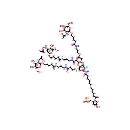 CC(=O)N[C@H]1[C@H](OCCCCC(=O)NCCCNC(=O)CCOC[C@H]2O[C@@H](NC(=O)CCCCCCCCCCC(=O)N3C[C@H](O)C[C@H]3CO[PH](=O)O)[C@H](F)[C@@H](OCCC(=O)NCCCNC(=O)CCCCO[C@@H]3O[C@H](CO)[C@H](O)[C@H](O)[C@H]3NC(C)=O)[C@@H]2OCCC(=O)NCCCNC(=O)CCCCO[C@@H]2O[C@H](CO)[C@H](O)[C@H](O)[C@H]2NC(C)=O)O[C@H](CO)[C@H](O)[C@@H]1O